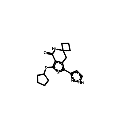 O=C1NC2(CCC2)Cc2c(-c3cc[nH]n3)sc(SC3CCCC3)c21